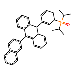 CC(C)P(=O)(C(C)C)C1C=C(C2c3ccccc3C(c3ccc4ccccc4c3)=C3C=CC=CC32)C=CC1